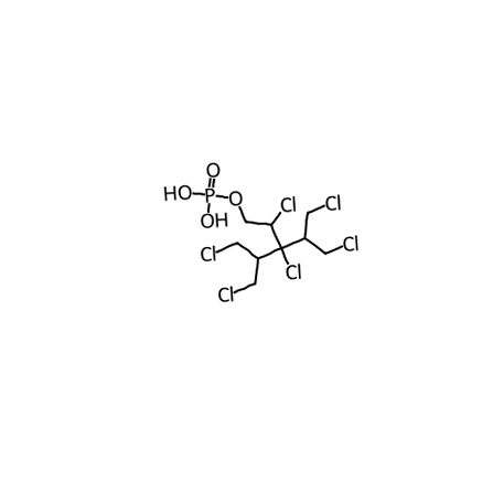 O=P(O)(O)OCC(Cl)C(Cl)(C(CCl)CCl)C(CCl)CCl